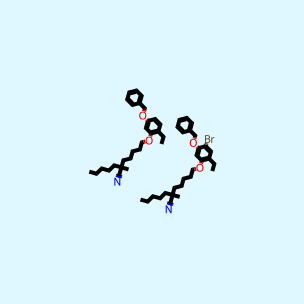 CCCCCC(C)(C#N)CCCCCOc1cc(OCc2ccccc2)c(Br)cc1CC.CCCCCC(C)(C#N)CCCCCOc1cc(OCc2ccccc2)ccc1CC